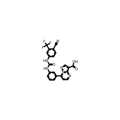 N#Cc1ccc(NC(=O)Nc2cccc(-c3ccnc4c(C(=O)O)cnn34)c2)cc1C(F)(F)F